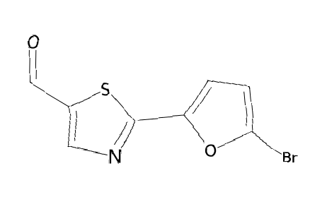 O=Cc1cnc(-c2ccc(Br)o2)s1